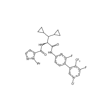 CC(C)n1nccc1C(=O)N[C@H](C(=O)Nc1ccc(-c2c[n+]([O-])cc(F)c2C(F)(F)F)c(F)n1)C(C1CC1)C1CC1